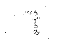 O=C(COc1ccc(C23CC4CC(CC(C4)C2)C3)cc1)Nc1cccc(C(=O)O)c1